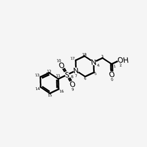 O=C(O)CN1CCN(S(=O)(=O)c2[c]cccc2)CC1